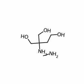 CN.NC(CO)(CO)CCO